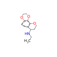 CCNC1CCOc2c1ccc1c2OCCO1